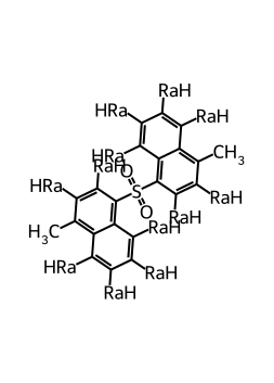 Cc1[c]([RaH])[c]([RaH])c(S(=O)(=O)c2[c]([RaH])[c]([RaH])c(C)c3[c]([RaH])[c]([RaH])[c]([RaH])[c]([RaH])c23)c2[c]([RaH])[c]([RaH])[c]([RaH])[c]([RaH])c12